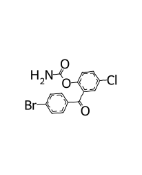 NC(=O)Oc1ccc(Cl)cc1C(=O)c1ccc(Br)cc1